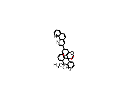 CC1(C)c2ccccc2C2(c3ccccc3Oc3cc(-c4cnc5c(ccc6cccnc65)c4)ccc32)c2ccccc21